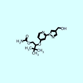 CC(C)(C)C(COC(N)=O)Oc1ccnc(-n2cc(CO)cn2)c1